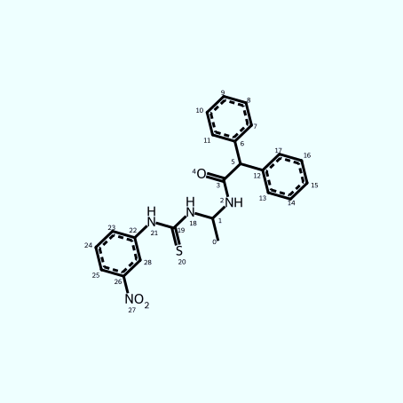 CC(NC(=O)C(c1ccccc1)c1ccccc1)NC(=S)Nc1cccc([N+](=O)[O-])c1